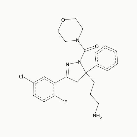 NCCCC1(c2ccccc2)CC(c2cc(Cl)ccc2F)=NN1C(=O)N1CCOCC1